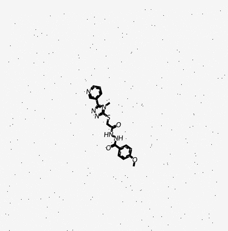 COc1ccc(C(=O)NNC(=O)CSc2nnc(-c3cccnc3)n2C)cc1